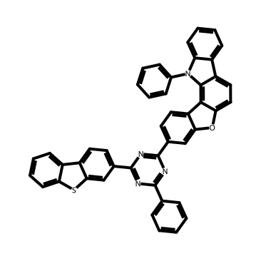 c1ccc(-c2nc(-c3ccc4c(c3)oc3ccc5c6ccccc6n(-c6ccccc6)c5c34)nc(-c3ccc4c(c3)sc3ccccc34)n2)cc1